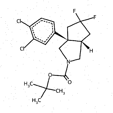 CC(C)(C)OC(=O)N1C[C@H]2CC(F)(F)C[C@@]2(c2ccc(Cl)c(Cl)c2)C1